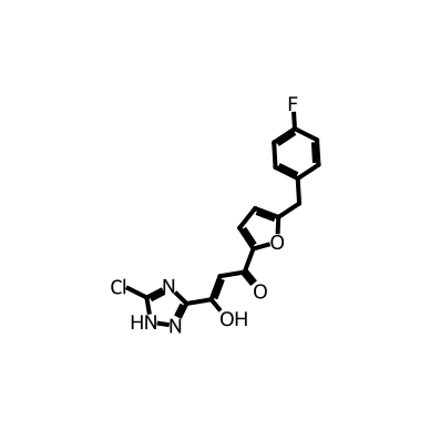 O=C(C=C(O)c1n[nH]c(Cl)n1)c1ccc(Cc2ccc(F)cc2)o1